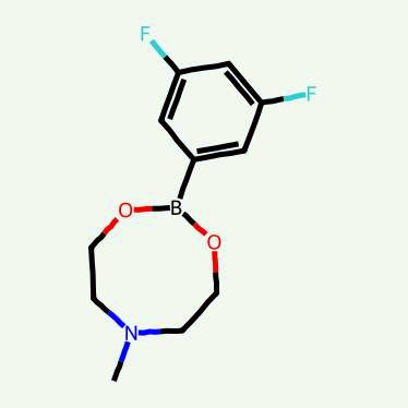 CN1CCOB(c2cc(F)cc(F)c2)OCC1